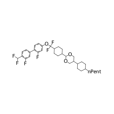 CCCCCC1CCC(C2COC(C3CCC(C(F)(F)Oc4ccc(-c5ccc(C(F)F)c(F)c5)c(F)c4)CC3)OC2)CC1